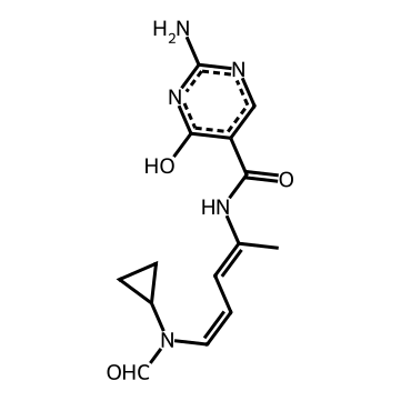 C/C(=C\C=C/N(C=O)C1CC1)NC(=O)c1cnc(N)nc1O